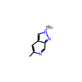 Cc1cc2cn(C(C)(C)C)nc2cn1